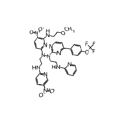 COCCNc1nc(N(CCNc2ccc([N+](=O)[O-])cn2)N(CCNc2ccccn2)c2nccc(-c3ccc(OC(F)(F)F)cc3)n2)ccc1[N+](=O)[O-]